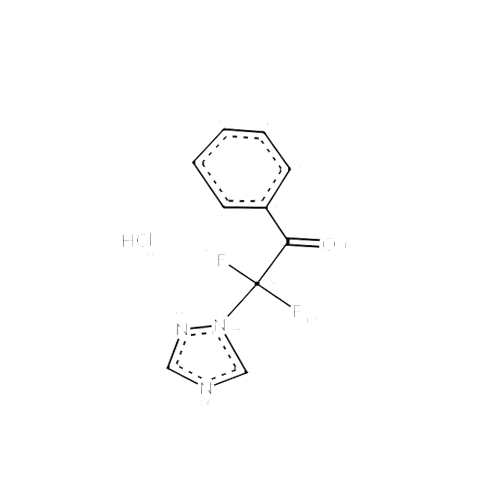 Cl.O=C(c1ccccc1)C(F)(F)n1cncn1